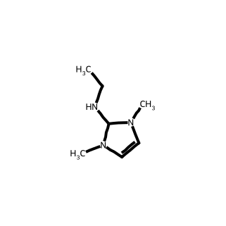 CCNC1N(C)C=CN1C